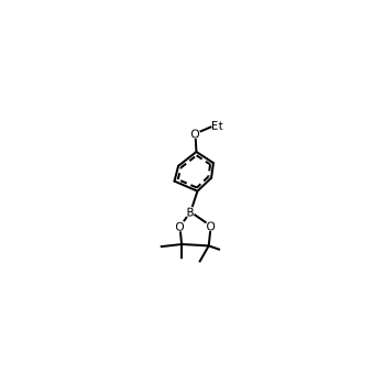 CCOc1ccc(B2OC(C)(C)C(C)(C)O2)cc1